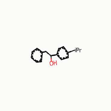 CC(C)c1ccc(C(O)Cc2ccccc2)cc1